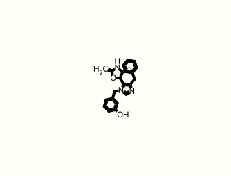 C=C1NC(=O)C(c2c(Cc3ccccc3)ncn2Cc2cccc(O)c2)O1